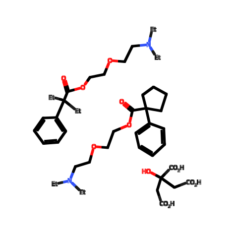 CCN(CC)CCOCCOC(=O)C(CC)(CC)c1ccccc1.CCN(CC)CCOCCOC(=O)C1(c2ccccc2)CCCC1.O=C(O)CC(O)(CC(=O)O)C(=O)O